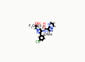 COc1ccc(Cl)cc1-c1nn(CC(O)(C(F)(F)F)C(F)(F)F)cc1NC(O)c1cnn2cccnc12